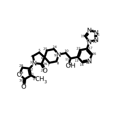 CC1=C(N2CCC3(CCN(CC(O)c4cncc(-n5cnnn5)c4)CC3)C2=O)COC1=O